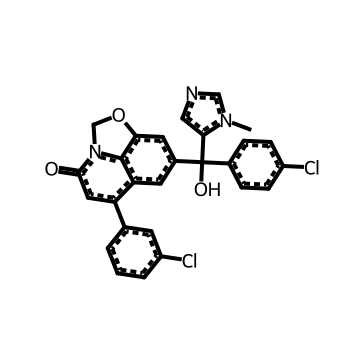 Cn1cncc1C(O)(c1ccc(Cl)cc1)c1cc2c3c(c1)c(-c1cccc(Cl)c1)cc(=O)n3CO2